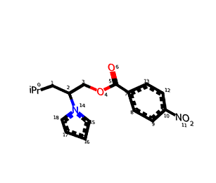 CC(C)CC(COC(=O)c1ccc([N+](=O)[O-])cc1)n1cccc1